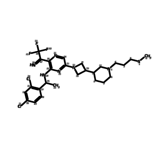 CSCCCN1CCCC(C2CN(c3cnc(C(=N)C(F)(F)F)c(NC(C)c4ccc(Cl)cc4Cl)n3)C2)C1